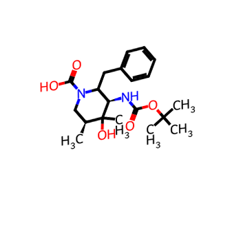 C[C@H]1CN(C(=O)O)C(Cc2ccccc2)[C@@H](NC(=O)OC(C)(C)C)C1(C)O